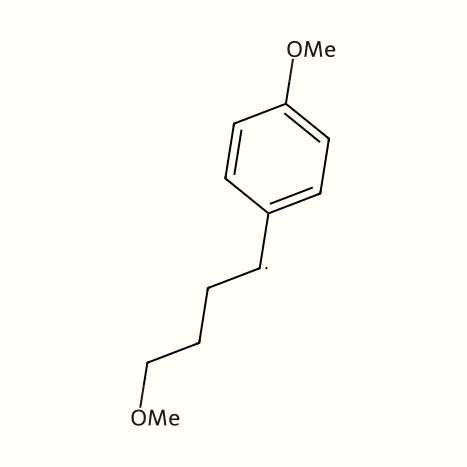 COCCC[CH]c1ccc(OC)cc1